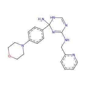 NC1(c2ccc(N3CCOCC3)cc2)N=C(NCc2ccccn2)N=CN1